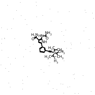 CC(C)[Si](C#Cc1cccc(-c2cc(C(N)=O)c(NC(N)=O)[nH]2)c1)(C(C)C)C(C)C